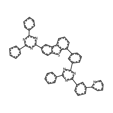 c1ccc(-c2nc(-c3cccc(-c4ccccn4)c3)nc(-c3cccc(-c4cccc5c4sc4ccc(-c6nc(-c7ccccc7)nc(-c7ccccc7)n6)cc45)c3)n2)cc1